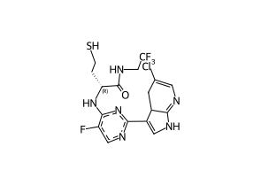 O=C(NCC(F)(F)F)[C@@H](CCS)Nc1nc(C2=CNC3=NC=C(Cl)CC23)ncc1F